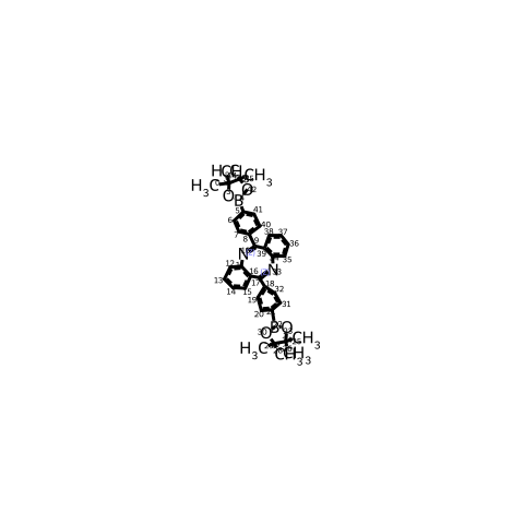 CC1(C)OB(c2ccc(/C3=N/c4ccccc4/C(c4ccc(B5OC(C)(C)C(C)(C)O5)cc4)=N\c4ccccc43)cc2)OC1(C)C